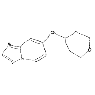 c1cn2ccc(OC3CCOCC3)cc2n1